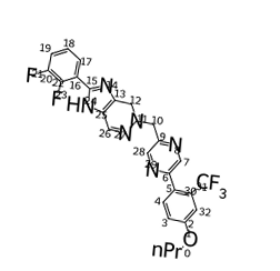 CCCOc1ccc(-c2cnc(CN3Cc4nc(-c5cccc(F)c5F)[nH]c4C=N3)cn2)c(C(F)(F)F)c1